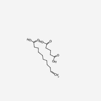 C=CCCCCCCCCC(=O)O.O=C(O)CCCC(=O)O